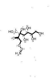 NOOCC(=O)[C@](O)(C(=O)O)[C@@H](O)[C@H](O)[C@H](O)CO